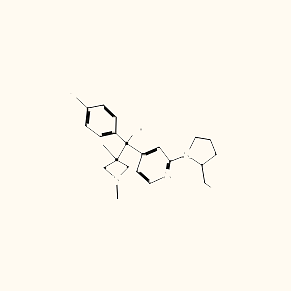 CC(C)c1ccc(C(O)(c2ccnc(N3CCCC3CO)c2)C2(C)CN(C)C2)cc1